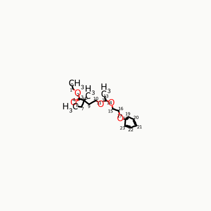 CCOC(=O)C(C)(CC)CCOC(C)OCCOc1ccccc1